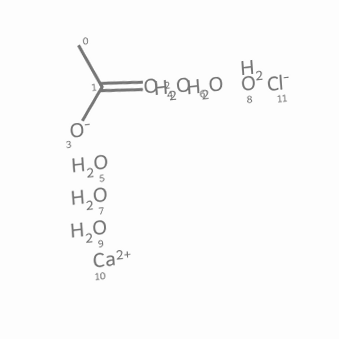 CC(=O)[O-].O.O.O.O.O.O.[Ca+2].[Cl-]